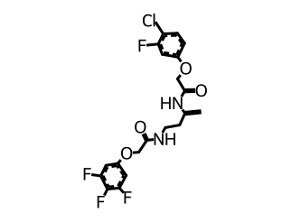 C=C(CCNC(=O)COc1cc(F)c(F)c(F)c1)NC(=O)COc1ccc(Cl)c(F)c1